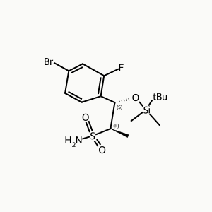 C[C@H]([C@@H](O[Si](C)(C)C(C)(C)C)c1ccc(Br)cc1F)S(N)(=O)=O